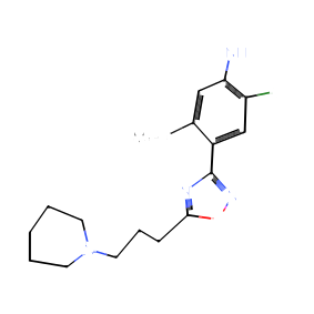 COc1cc(N)c(Cl)cc1-c1noc(CCCN2CCCCC2)n1